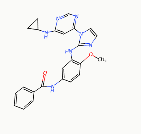 COc1ccc(NC(=O)c2ccccc2)cc1Nc1nccn1-c1cc(NC2CC2)ncn1